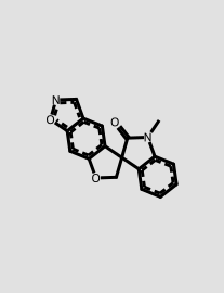 CN1C(=O)C2(COc3cc4oncc4cc32)c2ccccc21